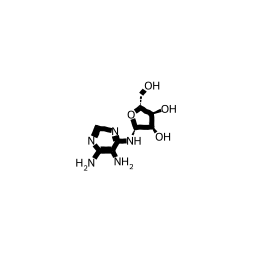 Nc1ncnc(N[C@@H]2O[C@H](CO)[C@@H](O)[C@H]2O)c1N